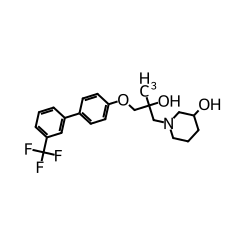 CC(O)(COc1ccc(-c2cccc(C(F)(F)F)c2)cc1)CN1CCCC(O)C1